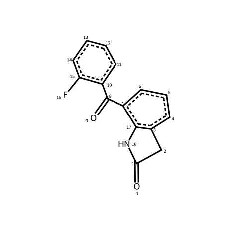 O=C1Cc2cccc(C(=O)c3ccccc3F)c2N1